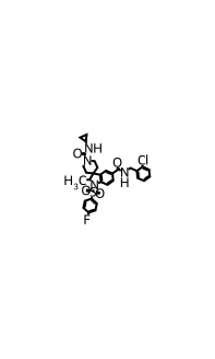 CC1N(S(=O)(=O)c2ccc(F)cc2)c2ccc(C(=O)NCc3ccccc3Cl)cc2C12CCN(C(=O)NC1CC1)CC2